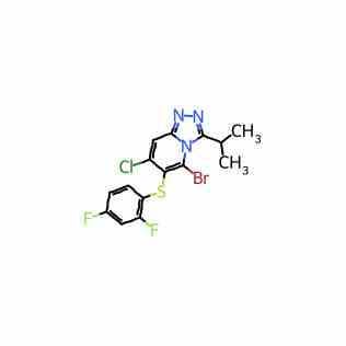 CC(C)c1nnc2cc(Cl)c(Sc3ccc(F)cc3F)c(Br)n12